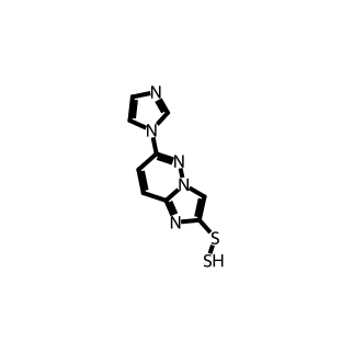 SSc1cn2nc(-n3ccnc3)ccc2n1